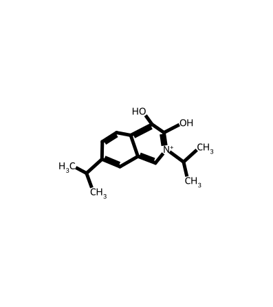 CC(C)c1ccc2c(O)c(O)[n+](C(C)C)cc2c1